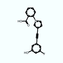 O=C(O)c1ccccc1-n1ccc(C#Cc2cc(O)cc(F)c2)c1